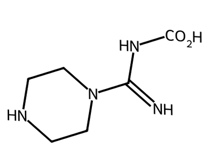 N=C(NC(=O)O)N1CCNCC1